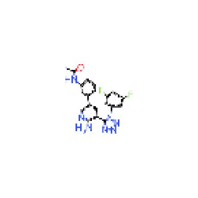 CC(=O)Nc1cccc(-c2cnc(N)c(-c3nnnn3-c3cc(F)cc(F)c3)c2)c1